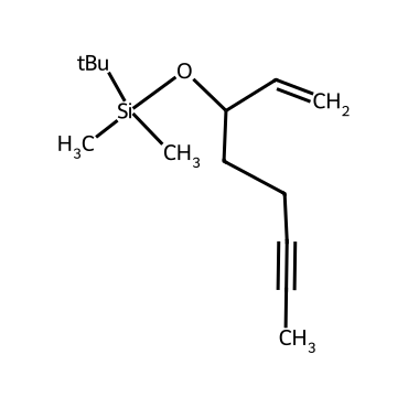 C=CC(CCC#CC)O[Si](C)(C)C(C)(C)C